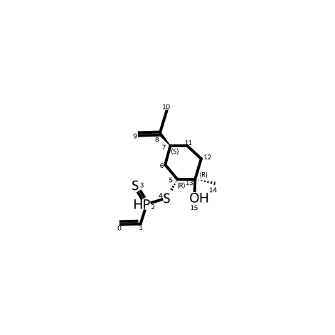 C=C[PH](=S)S[C@@H]1C[C@@H](C(=C)C)CC[C@@]1(C)O